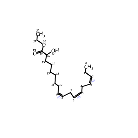 CC/C=C\C/C=C\C/C=C\CCCCCCC(O)C(=O)OCC